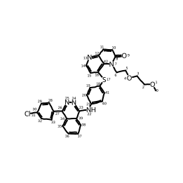 COCCOCCn1c(=O)ccc2nccc(Sc3ccc(Nc4nnc(-c5ccc(Cl)cc5)c5ccccc45)cc3)c21